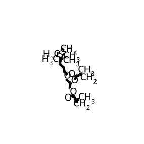 C=C(C)C(=O)OCC(COCCCC(C)(C)S(C)(C)C)OC(=O)C(=C)C